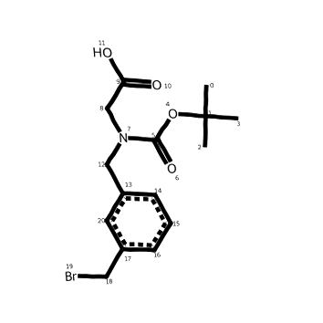 CC(C)(C)OC(=O)N(CC(=O)O)Cc1cccc(CBr)c1